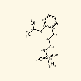 CC(O)Cc1ccccc1CCCOS(C)(=O)=O